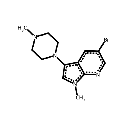 CN1CCN(c2cn(C)c3ncc(Br)cc23)CC1